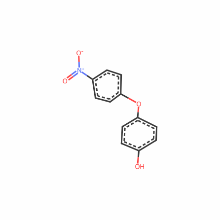 O=[N+]([O-])c1ccc(Oc2ccc(O)cc2)cc1